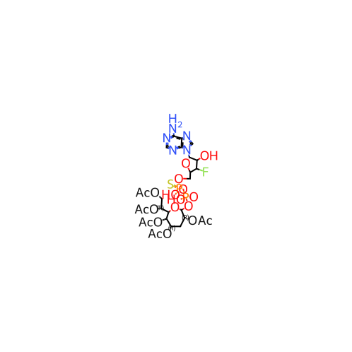 CC(=O)OC[C@@H](OC(C)=O)C1OC(OP(=O)(O)OP(O)(=S)OCC2OC(n3cnc4c(N)ncnc43)C(O)C2F)[C@H](OC(C)=O)C[C@@H](OC(C)=O)C1OC(C)=O